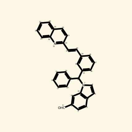 O=Cc1ccc2ccn(C(c3ccccc3)c3cccc(/C=C/c4ccc5ccccc5n4)c3)c2c1